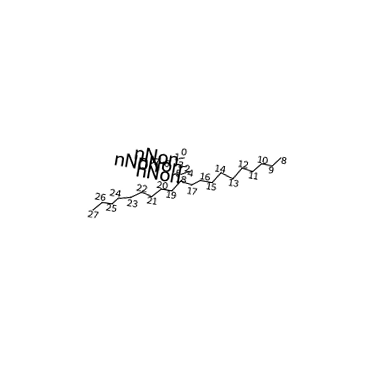 CCCCCCCCCC.CCCCCCCCCC.CCCCCCCCCC.CCCCCCCCCC.CCCCCCCCCCCCCCCCCCCC